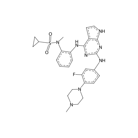 CN1CCN(c2ccc(Nc3nc(Nc4ccccc4N(C)S(=O)(=O)C4CC4)c4cc[nH]c4n3)cc2F)CC1